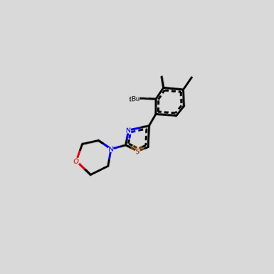 Cc1ccc(-c2csc(N3CCOCC3)n2)c(C(C)(C)C)c1C